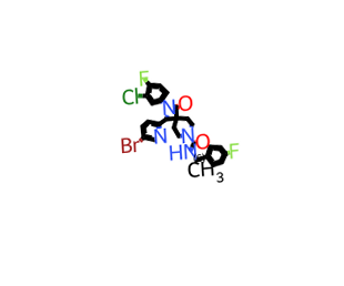 C[C@H](NC(=O)N1CCC2(CC1)C(=O)N(c1ccc(F)c(Cl)c1)C2c1ccc(Br)cn1)c1ccc(F)cc1